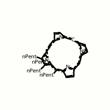 CCCCCc1c(CCCCC)c2c(CCCCC)c3nc(cc4ccc(cc5nc(cc1n2CCCCC)C=C5)[nH]4)C=C3